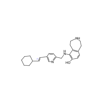 Oc1ccc2c(c1NCc1ccc(/C=C/C3CCCCC3)cn1)CCNCC2